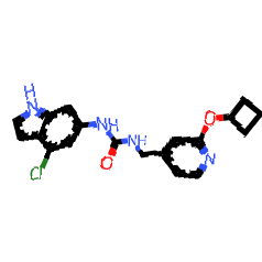 O=C(NCc1ccnc(OC2CCC2)c1)Nc1cc(Cl)c2cc[nH]c2c1